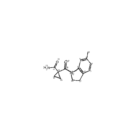 Cc1ccc2c(c1)N(C(=O)C1(C(N)=O)CC1)CC2